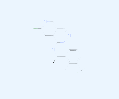 Cc1c([C@@H](C)Nc2nncc3cnc(Cl)cc23)cccc1C(F)(F)F